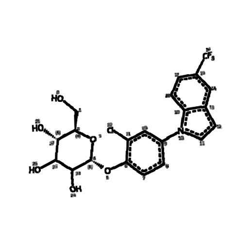 OC[C@H]1O[C@H](Oc2ccc(-n3ccc4cc(C(F)(F)F)ccc43)cc2Cl)C(O)C(O)[C@@H]1O